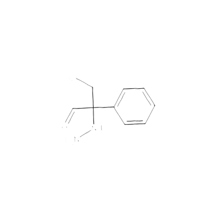 NNC(C=O)(CCl)c1ccccc1